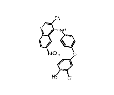 N#Cc1cnc2ccc([N+](=O)[O-])cc2c1Nc1ccc(Oc2ccc(S)c(Cl)c2)cc1